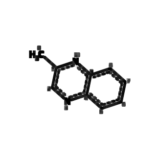 Cc1cnc2ccc[c]c2n1